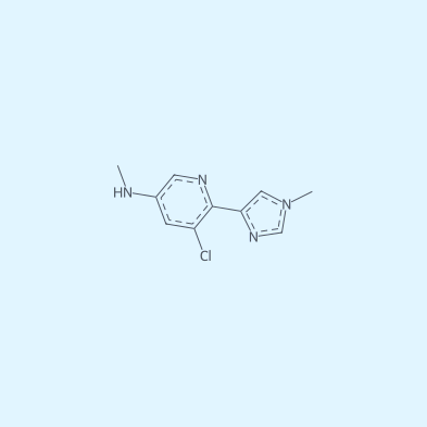 CNc1cnc(-c2cn(C)cn2)c(Cl)c1